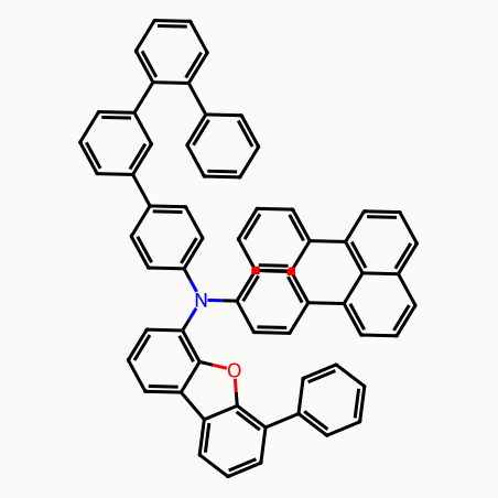 c1ccc(-c2ccccc2-c2cccc(-c3ccc(N(c4ccc(-c5cccc6cccc(-c7ccccc7)c56)cc4)c4cccc5c4oc4c(-c6ccccc6)cccc45)cc3)c2)cc1